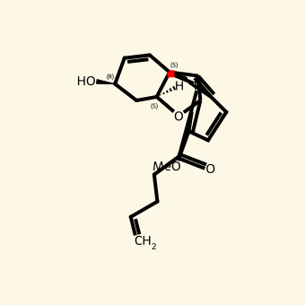 C=CCCC(=O)N1CC[C@@]23C=C[C@H](O)C[C@@H]2Oc2c(OC)ccc(c23)C1